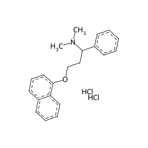 CN(C)C(CCOc1cccc2ccccc12)c1ccccc1.Cl.Cl